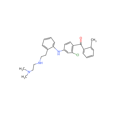 Cc1ccccc1C(=O)c1ccc(Nc2ccccc2CCNCCN(C)C)cc1Cl